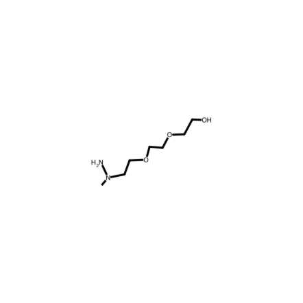 CN(N)CCOCCOCCO